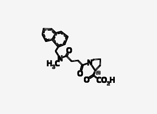 CN(Cc1cccc2ccccc12)C(=O)CCC(=O)N1CCC[C@H]1C(=O)C(=O)O